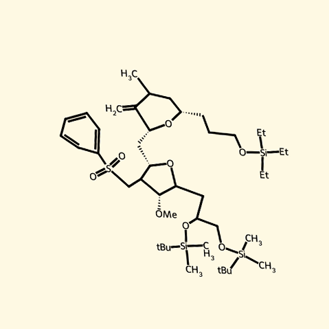 C=C1C(C)C[C@H](CCCO[Si](CC)(CC)CC)O[C@@H]1C[C@@H]1OC(CC(CO[Si](C)(C)C(C)(C)C)O[Si](C)(C)C(C)(C)C)[C@H](OC)C1CS(=O)(=O)c1ccccc1